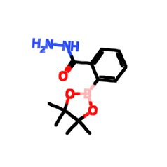 CC1(C)OB(c2ccccc2C(=O)NN)OC1(C)C